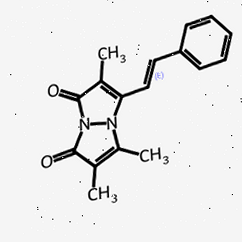 Cc1c(C)n2c(/C=C/c3ccccc3)c(C)c(=O)n2c1=O